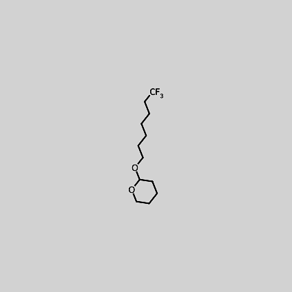 FC(F)(F)CCCCCCOC1CCCCO1